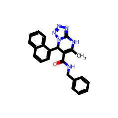 CC1=C(C(=O)NCc2ccccc2)C(c2cccc3ccccc23)n2nnnc2N1